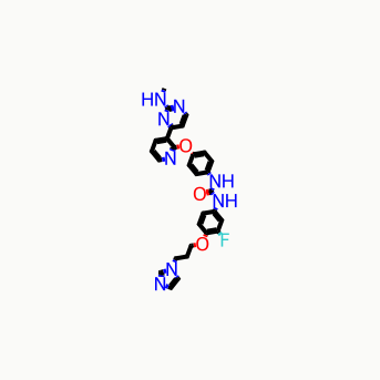 CNc1nccc(-c2cccnc2Oc2ccc(NC(=O)Nc3ccc(OCCCn4ccnc4)c(F)c3)cc2)n1